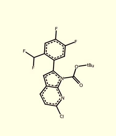 CC(C)(C)OC(=O)n1c(-c2cc(F)c(F)cc2C(F)F)cc2ccc(Cl)nc21